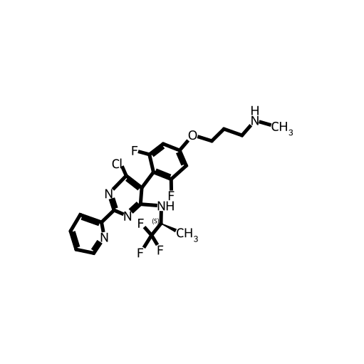 CNCCCOc1cc(F)c(-c2c(Cl)nc(-c3ccccn3)nc2N[C@@H](C)C(F)(F)F)c(F)c1